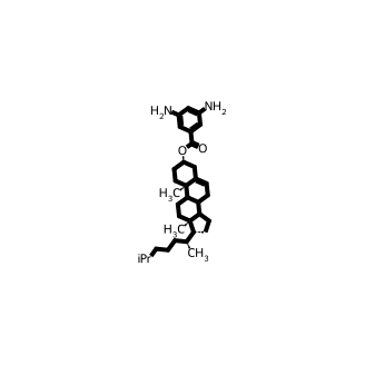 CC(C)CCC[C@@H](C)[C@H]1CCC2C3CC=C4C[C@@H](OC(=O)c5cc(N)cc(N)c5)CC[C@]4(C)C3CC[C@@]21C